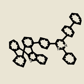 c1ccc(-c2ccc(-c3cc(-c4ccc(-c5cccc6c5-c5c(sc7ccccc57)C65c6ccccc6-c6ccccc65)cc4)nc(-c4ccccc4)n3)cc2)cc1